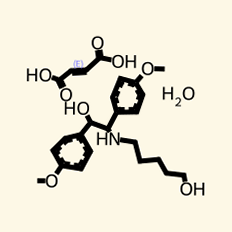 COc1ccc(C(O)C(NCCCCCO)c2ccc(OC)cc2)cc1.O.O=C(O)/C=C/C(=O)O